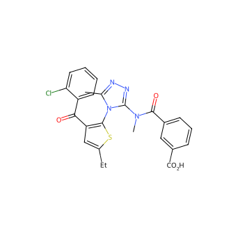 CCc1cc(C(=O)c2ccccc2Cl)c(-n2c(C)nnc2N(C)C(=O)c2cccc(C(=O)O)c2)s1